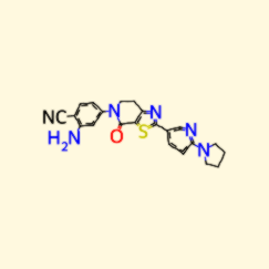 N#Cc1ccc(N2CCc3nc(-c4ccc(N5CCCC5)nc4)sc3C2=O)cc1N